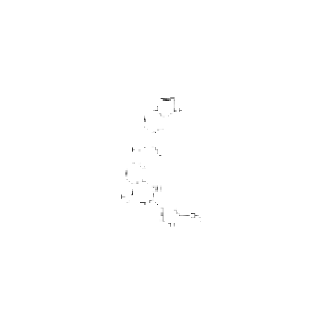 Cc1cc(C(=O)Nc2cc(NC(=O)c3ccc4cn[nH]c4c3)ccc2C)no1